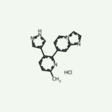 Cc1ccc(-c2cn[nH]c2)c(-c2ccn3ccnc3c2)n1.Cl